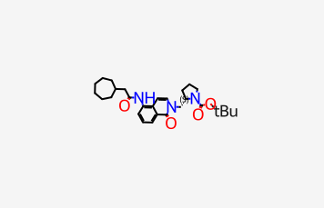 CC(C)(C)OC(=O)N1CCC[C@H]1Cn1ccc2c(NC(=O)CC3CCCCCC3)cccc2c1=O